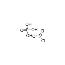 O=P(O)(O)O.[O-][S+](Cl)Cl